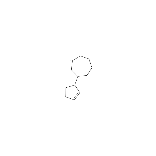 [CH]1C=CC(C2C[CH]CCCC2)C1